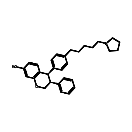 Oc1ccc2c(c1)OC[C@H](c1ccccc1)[C@@H]2c1ccc(CCCCCN2CCCC2)cc1